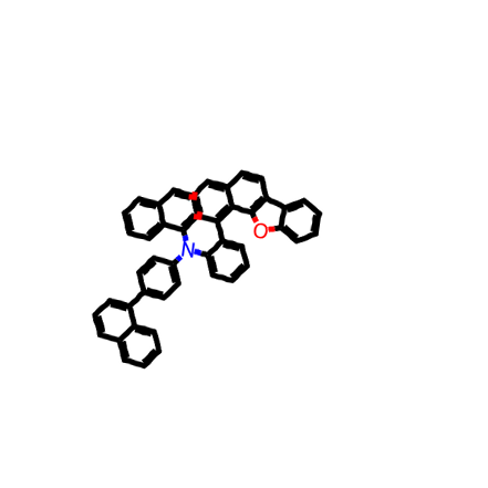 c1ccc(N(c2ccc(-c3cccc4ccccc34)cc2)c2cccc3ccccc23)c(-c2cccc3ccc4c5ccccc5oc4c23)c1